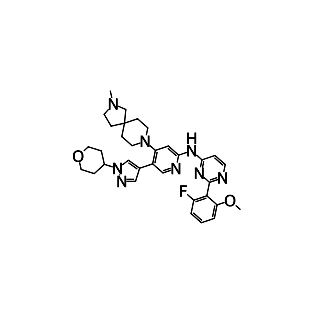 COc1cccc(F)c1-c1nccc(Nc2cc(N3CCC4(CCN(C)C4)CC3)c(-c3cnn(C4CCOCC4)c3)cn2)n1